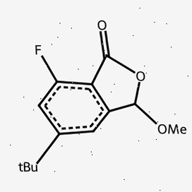 COC1OC(=O)c2c(F)cc(C(C)(C)C)cc21